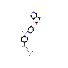 CC(CCN(C)C)c1ccc(N(C)c2ccc(Oc3nc(O)c4ccncc4n3)cc2)cc1